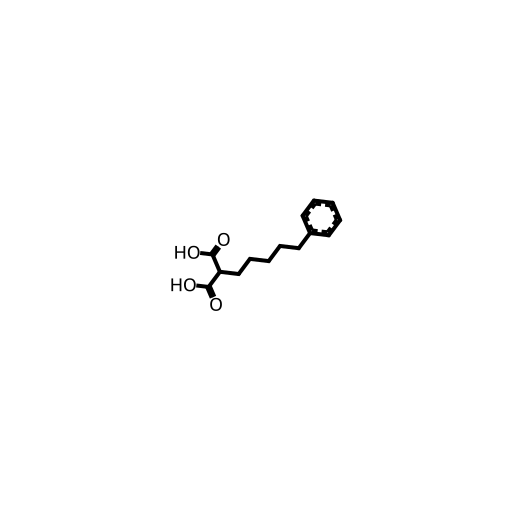 O=C(O)C(CCCCCc1ccccc1)C(=O)O